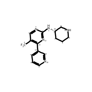 FC(F)(F)c1cnc(N[C@H]2CCCNC2)nc1-c1cccnc1